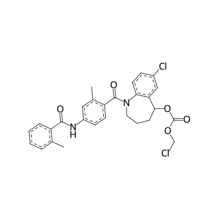 Cc1ccccc1C(=O)Nc1ccc(C(=O)N2CCCC(OC(=O)OCCl)c3cc(Cl)ccc32)c(C)c1